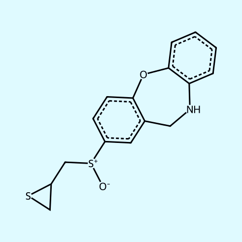 [O-][S+](CC1CS1)c1ccc2c(c1)CNc1ccccc1O2